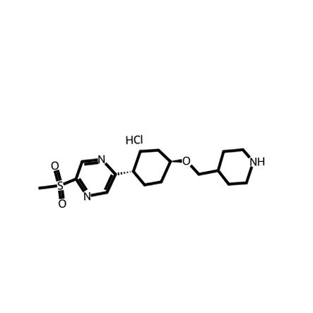 CS(=O)(=O)c1cnc([C@H]2CC[C@H](OCC3CCNCC3)CC2)cn1.Cl